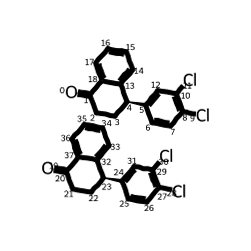 O=C1CC[C@H](c2ccc(Cl)c(Cl)c2)c2ccccc21.O=C1CC[C@H](c2ccc(Cl)c(Cl)c2)c2ccccc21